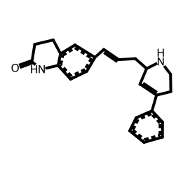 O=C1CCc2cc(C=CCC3C=C(c4ccccc4)CCN3)ccc2N1